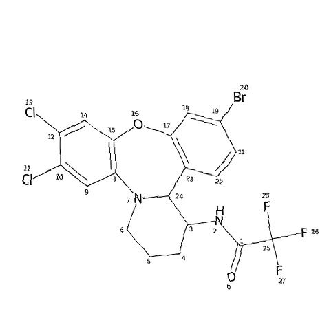 O=C(NC1CCCN2c3cc(Cl)c(Cl)cc3Oc3cc(Br)ccc3C12)C(F)(F)F